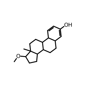 COC1CCC2C3CCC4C=C(O)C=CC4C3CCC12C